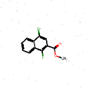 COC(=O)c1cc(Br)c2ccccc2c1F